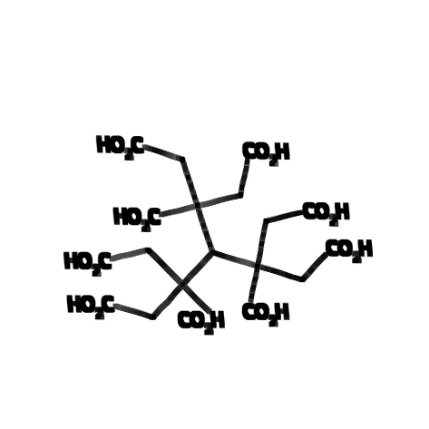 O=C(O)CC(CC(=O)O)(C(=O)O)C(C(CC(=O)O)(CC(=O)O)C(=O)O)C(CC(=O)O)(CC(=O)O)C(=O)O